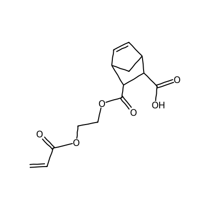 C=CC(=O)OCCOC(=O)C1C2C=CC(C2)C1C(=O)O